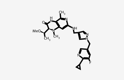 CO[C@H](C)[C@H]1C(=O)Nc2c(cc(NCc3cnn(Cc4cnc(C5CC5)c(F)c4)c3)nc2C)N1C